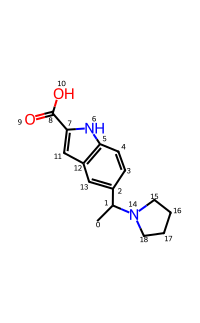 CC(c1ccc2[nH]c(C(=O)O)cc2c1)N1CCCC1